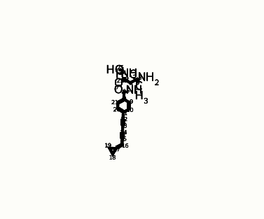 CC(C)(N)[C@H](NC(=O)c1ccc(C#CC#CC=C2CC2)cc1)C(=O)NO